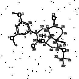 COc1cc(OC)cc(C(C[C@@H]2C(=O)CC[C@]3(C)[C@@H](OC(C)(C)C)CC[C@@H]23)[N+](=O)[O-])c1